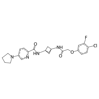 O=C(COc1ccc(Cl)c(F)c1)NC12CC(NC(=O)c3ccc(N4CCCC4)cn3)(C1)C2